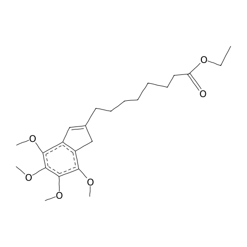 CCOC(=O)CCCCCCCC1=Cc2c(c(OC)c(OC)c(OC)c2OC)C1